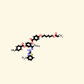 C=CC(=O)OCCCCCCOc1ccc(C(=O)Oc2ccc(OC(=O)C3CCC(CCCC)CC3)cc2C(CCCCCC)=NNc2nc3c(C)cccc3s2)cc1